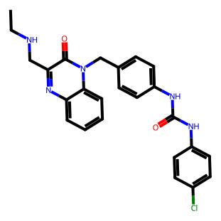 CCNCc1nc2ccccc2n(Cc2ccc(NC(=O)Nc3ccc(Cl)cc3)cc2)c1=O